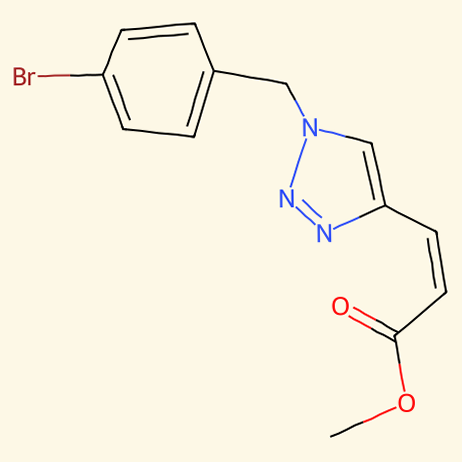 COC(=O)/C=C\c1cn(Cc2ccc(Br)cc2)nn1